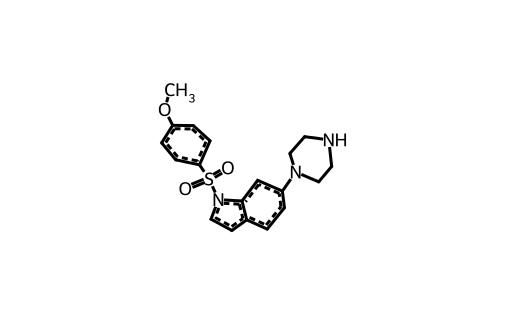 COc1ccc(S(=O)(=O)n2ccc3ccc(N4CCNCC4)cc32)cc1